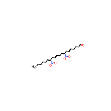 CCCCC/C=C(/C/C=C/C/C=C(/C/C=C/CCC[C]=O)[N+](=O)[O-])[N+](=O)[O-]